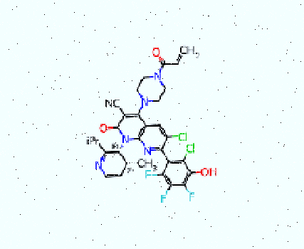 C=CC(=O)N1CCN(c2c(C#N)c(=O)n([C@H]3C(C(C)C)=NC=C[C@H]3C)c3nc(-c4c(F)c(F)c(F)c(O)c4Cl)c(Cl)cc23)CC1